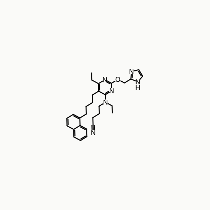 CCc1nc(OCc2ncc[nH]2)nc(N(CC)CCCC#N)c1CCCCc1cccc2ccccc12